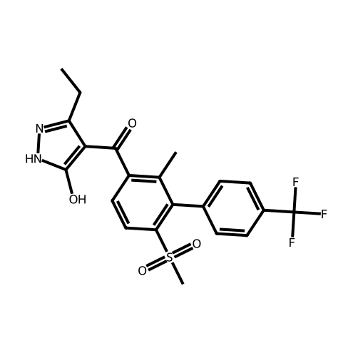 CCc1n[nH]c(O)c1C(=O)c1ccc(S(C)(=O)=O)c(-c2ccc(C(F)(F)F)cc2)c1C